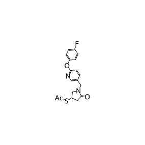 CC(=O)S[C@@H]1CC(=O)N(Cc2ccc(Oc3ccc(F)cc3)nc2)C1